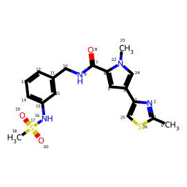 Cc1nc(-c2cc(C(=O)NCc3cccc(NS(C)(=O)=O)c3)n(C)c2)cs1